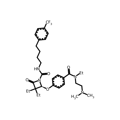 CCN(CCN(C)C)C(=O)c1ccc(O[C@@H]2N(C(=O)NCCCCc3ccc(C(F)(F)F)cc3)C(=O)C2(CC)CC)cc1